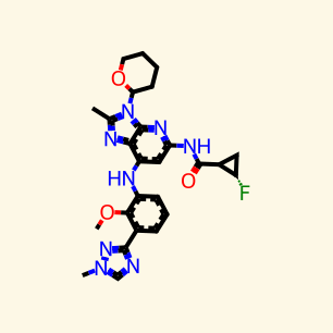 COc1c(Nc2cc(NC(=O)C3C[C@@H]3F)nc3c2nc(C)n3C2CCCCO2)cccc1-c1ncn(C)n1